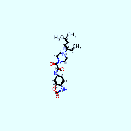 C=C/C(=C\C=C(C)C)N1CCN(C(=O)C(=O)/N=C2/C=c3oc(=O)[nH]c3=CC2)CC1